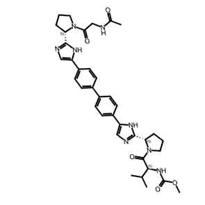 COC(=O)N[C@H](C(=O)N1CCC[C@H]1c1ncc(-c2ccc(-c3ccc(-c4cnc([C@@H]5CCCN5C(=O)CNC(C)=O)[nH]4)cc3)cc2)[nH]1)C(C)C